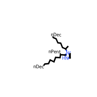 CCCCCCCCCCCCCCCCC(CCCCC)c1[nH]cc[n+]1C(C)CCCCCCCCCCCCCCC